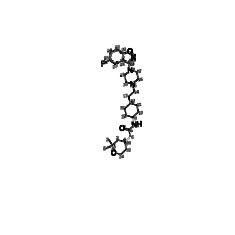 CC1(C)C[C@H](CC(=O)N[C@H]2CC[C@H](CCN3CCN(c4noc5ccc(F)cc45)CC3)CC2)CCO1